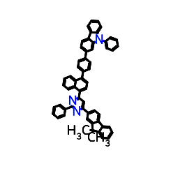 CC1(C)c2ccccc2-c2ccc(-c3cc(-c4ccc(-c5ccc(-c6ccc7c8ccccc8n(-c8ccccc8)c7c6)cc5)c5ccccc45)nc(-c4ccccc4)n3)cc21